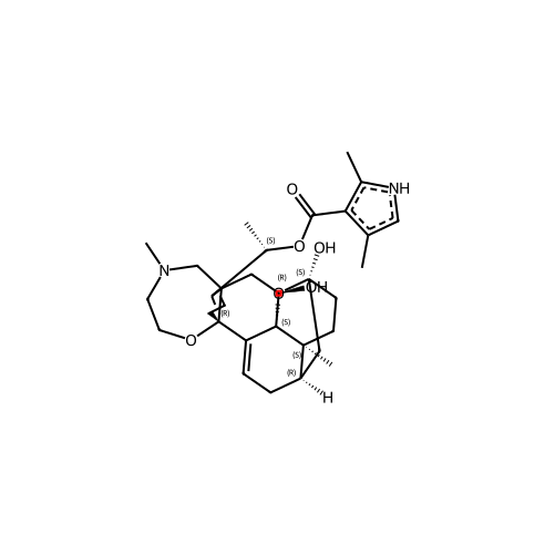 Cc1c[nH]c(C)c1C(=O)O[C@@H](C)C1=CC[C@@]23OCCN(C)CC12C[C@@H](O)[C@]12O[C@@]4(O)CC[C@@]1(C)[C@H](CC=C32)C4